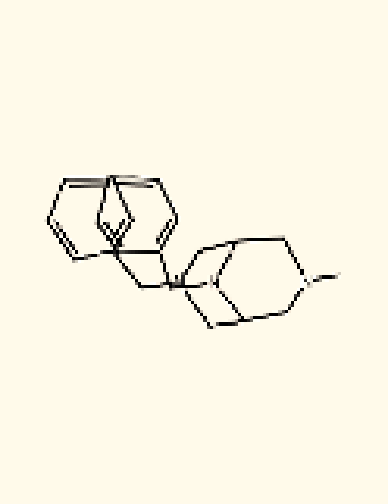 CN1CC2CN(Cc3ccccc3)CC(C1)N2Cc1ccccc1